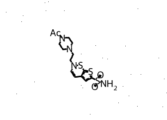 CC(=O)N1CCN(CCN2C=Cc3cc(S(N)(=O)=O)sc3S2)CC1